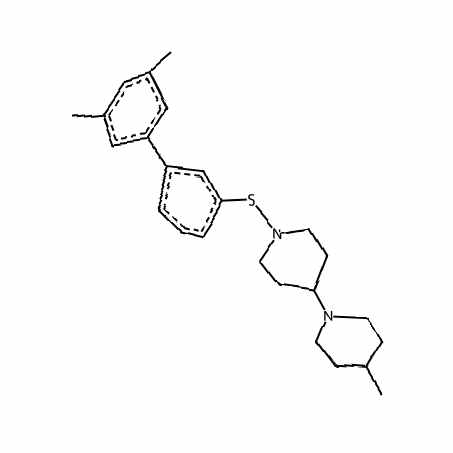 Cc1cc(C)cc(-c2cccc(SN3CCC(N4CCC(C)CC4)CC3)c2)c1